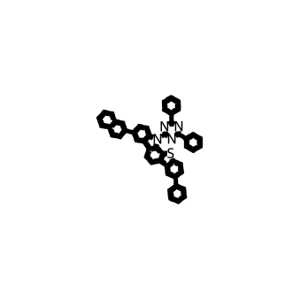 c1ccc(-c2ccc3sc4c(ccc5c6cc(-c7ccc8ccccc8c7)ccc6n(-c6nc(-c7ccccc7)nc(-c7ccccc7)n6)c54)c3c2)cc1